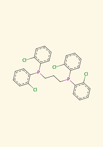 Clc1ccccc1P(CCCP(c1ccccc1Cl)c1ccccc1Cl)c1ccccc1Cl